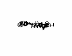 CCOC(CC)(Cc1ccc(NC(=O)OCCCc2ccc(OS(C)(=O)=O)cc2)cc1)C(=O)O